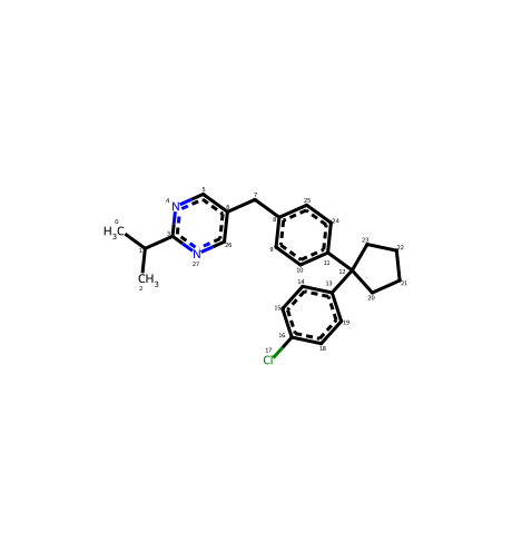 CC(C)c1ncc(Cc2ccc(C3(c4ccc(Cl)cc4)CCCC3)cc2)cn1